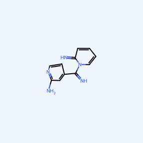 N=C(c1ccnc(N)c1)n1ccccc1=N